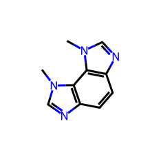 Cn1cnc2ccc3ncn(C)c3c21